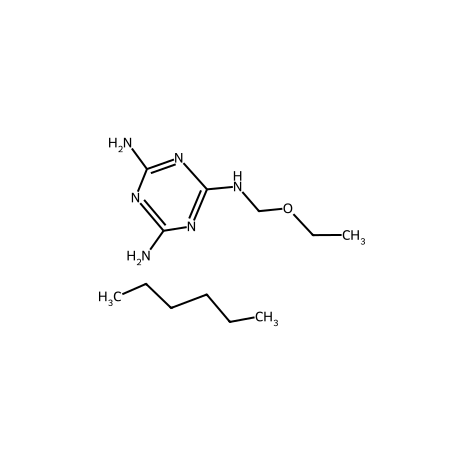 CCCCCC.CCOCNc1nc(N)nc(N)n1